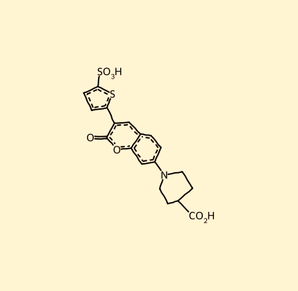 O=C(O)C1CCN(c2ccc3cc(-c4ccc(S(=O)(=O)O)s4)c(=O)oc3c2)CC1